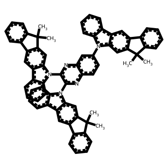 CC1(C)c2ccccc2-c2cc3c4ccccc4n(-c4ccc5nc(-n6c7ccccc7c7cc8c(cc76)C(C)(C)c6ccccc6-8)c(-n6c7ccccc7c7cc8c(cc76)C(C)(C)c6ccccc6-8)nc5c4)c3cc21